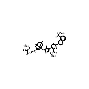 COC(=O)c1cccc2ccc(-c3ccc(-c4cnn(CC56CC7(C)CC(C)(C5)CC(OCCN(C)C(=O)OC(C)(C)C)(C7)C6)c4C)c(C(=O)OC(C)(C)C)n3)cc12